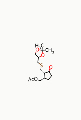 CC(=O)OC[C@@H]1CCC(=O)[C@H]1CSCC1COC(C)(C)O1